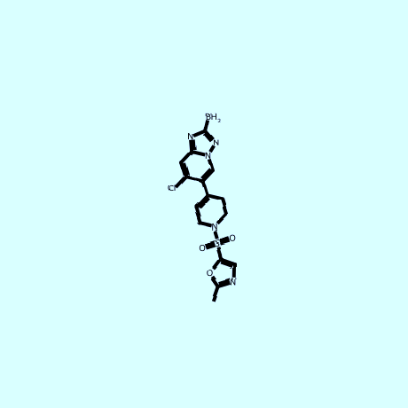 Bc1nc2cc(Cl)c(C3=CCN(S(=O)(=O)c4cnc(C)o4)CC3)cn2n1